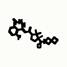 C=C/N=N\C(=C/C(=C)C1CC[C@](C)(C(=O)N2CC3(CCC3)C2)C1(C)C)c1c(F)cccc1F